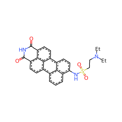 CCN(CC)CCS(=O)(=O)Nc1ccc2c3ccc4c5c(ccc(c6cccc1c62)c53)C(=O)NC4=O